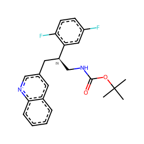 CC(C)(C)OC(=O)NC[C@@H](Cc1cnc2ccccc2c1)c1cc(F)ccc1F